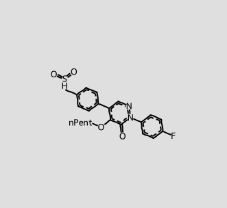 CCCCCOc1c(-c2ccc(C[SH](=O)=O)cc2)cnn(-c2ccc(F)cc2)c1=O